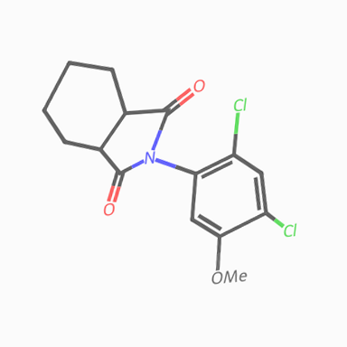 COc1cc(N2C(=O)C3CCCCC3C2=O)c(Cl)cc1Cl